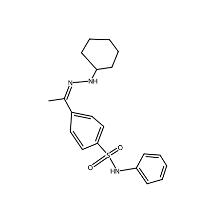 C/C(=N/NC1CCCCC1)c1ccc(S(=O)(=O)Nc2ccccc2)cc1